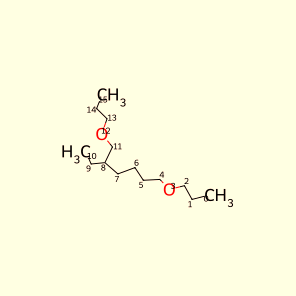 CCCOCCCCC(CC)COCCC